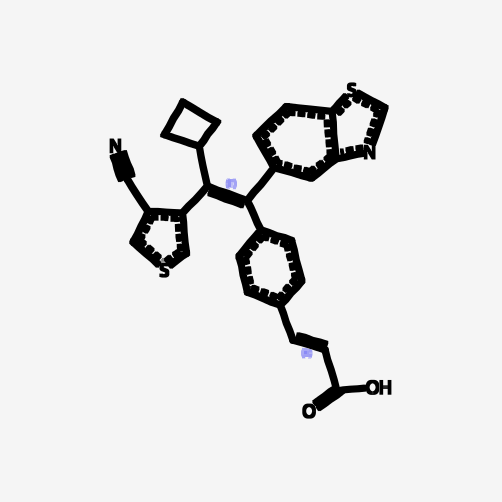 N#Cc1cscc1/C(=C(\c1ccc(/C=C/C(=O)O)cc1)c1ccc2scnc2c1)C1CCC1